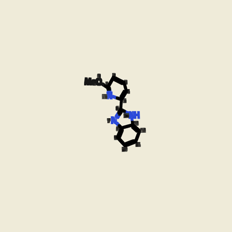 COc1cccc(-c2nc3ccccc3[nH]2)n1